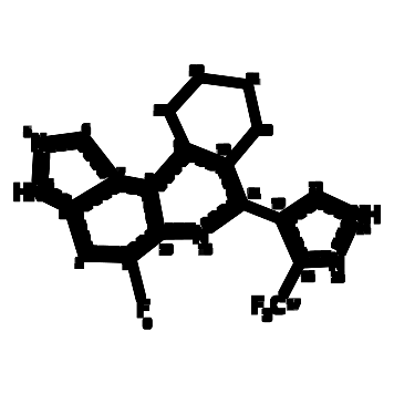 Fc1cc2[nH]ncc2c2c3c(c(-c4c[nH]nc4C(F)(F)F)nc12)CCCC3